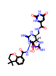 CC1(C)CCOc2c(C(=O)N[C@H]3CN4C(=N)N[C@@H](CNC(=O)c5cc(=O)[nH]c(=O)[nH]5)[C@@H]5NC(=N)N[C@@]54C3(O)O)cccc21